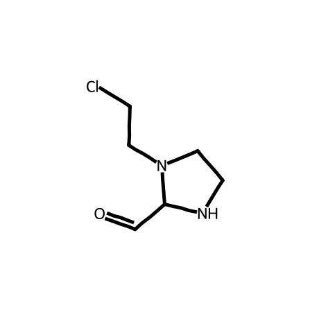 O=CC1NCCN1CCCl